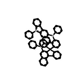 c1ccc(N(c2ccc3c(c2)c2ccccc2n3-c2ccccc2)c2cccc3c2-c2ccccc2C32c3ccccc3-c3c2c(N(c2ccccc2)c2ccccc2)cc2ccccc32)cc1